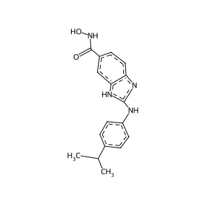 CC(C)c1ccc(Nc2nc3ccc(C(=O)NO)cc3[nH]2)cc1